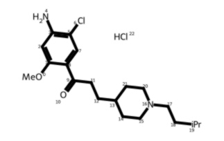 COc1cc(N)c(Cl)cc1C(=O)CCC1CCN(CCC(C)C)CC1.Cl